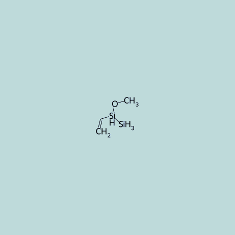 C=C[SiH]([SiH3])OC